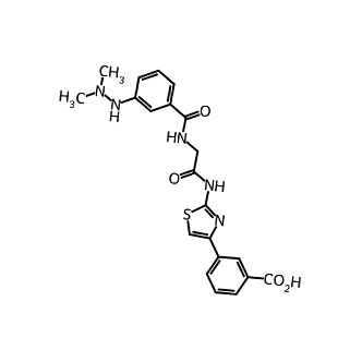 CN(C)Nc1cccc(C(=O)NCC(=O)Nc2nc(-c3cccc(C(=O)O)c3)cs2)c1